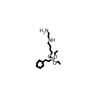 CCO[Si](CCc1ccccc1)(OCC)OCCCCNCCN